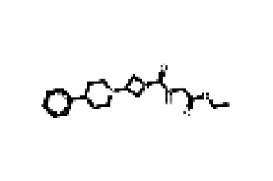 CCOC(=O)CNC(=O)N1CC(N2CCC(c3ccccc3)CC2)C1